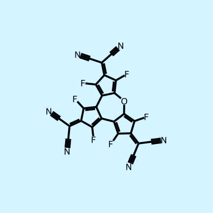 N#CC(C#N)=c1c(F)c2oc3c(F)c(=C(C#N)C#N)c(F)c3c3c(F)c(=C(C#N)C#N)c(F)c3c2c1F